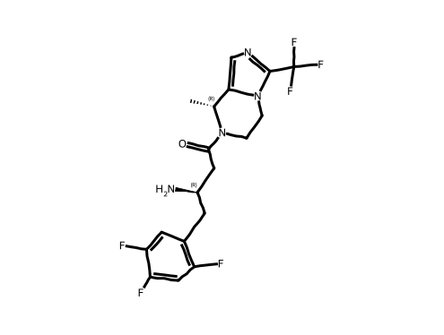 C[C@@H]1c2cnc(C(F)(F)F)n2CCN1C(=O)C[C@H](N)Cc1cc(F)c(F)cc1F